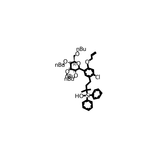 C=CCOc1cc(Cl)c(CCC(C)(C)[Si](O)(c2ccccc2)c2ccccc2)cc1C1O[C@H](COCCCC)[C@@H](OCCCC)[C@H](OCCCC)[C@H]1OCCCC